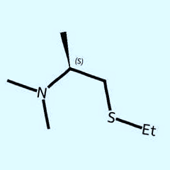 CCSC[C@H](C)N(C)C